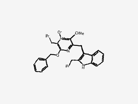 COc1c(Cc2c(CC(C)C)[nH]c3ccccc23)nc(OCc2ccccc2)c(CC(C)C)[n+]1[O-]